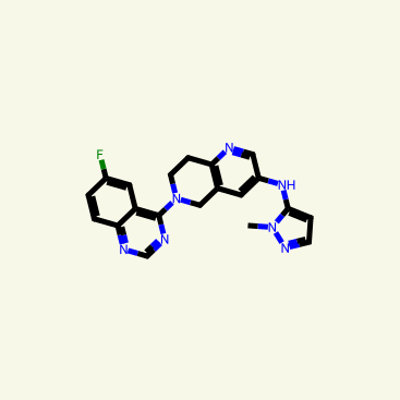 Cn1nccc1Nc1cnc2c(c1)CN(c1ncnc3ccc(F)cc13)CC2